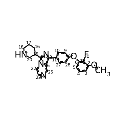 COc1cccc(Oc2ccc(-c3nc(C4CCCNC4)n4ccncc34)cc2)c1F